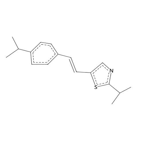 CC(C)c1ccc(/C=C/c2cnc(C(C)C)s2)cc1